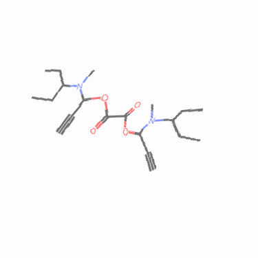 C#CC(OC(=O)C(=O)OC(C#C)N(C)C(CC)CC)N(C)C(CC)CC